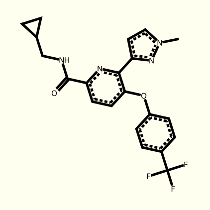 Cn1ccc(-c2nc(C(=O)NCC3CC3)ccc2Oc2ccc(C(F)(F)F)cc2)n1